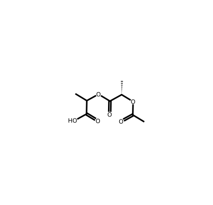 CC(=O)O[C@@H](C)C(=O)OC(C)C(=O)O